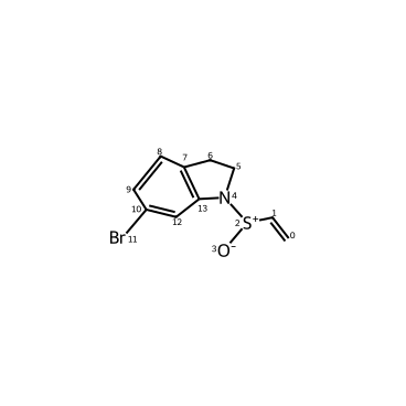 C=C[S+]([O-])N1CCc2ccc(Br)cc21